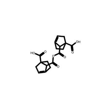 O=C(OC(=O)C1C2=CCC1(C(=O)O)CC2)C1C2=CCC1(C(=O)O)CC2